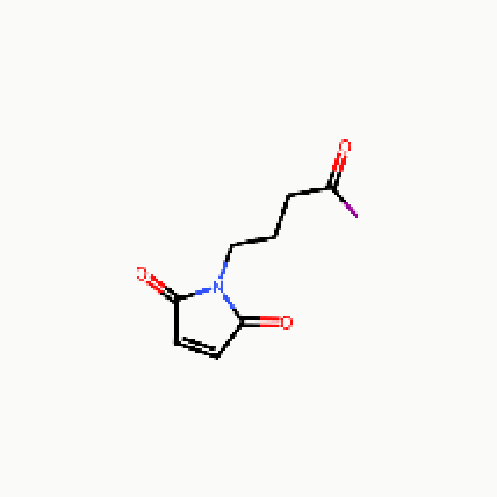 O=C(I)CCCN1C(=O)C=CC1=O